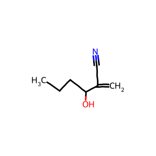 C=C(C#N)C(O)CCC